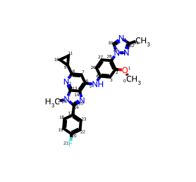 COc1cc(Nc2cc(C3CC3)nc3c2nc(-c2ccc(F)cc2)n3C)ccc1-n1cnc(C)n1